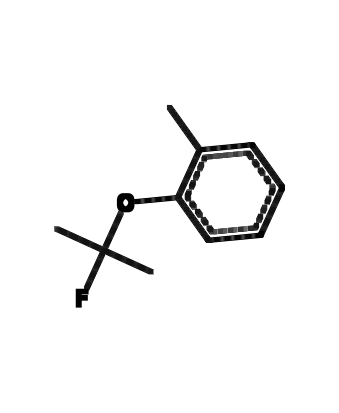 Cc1ccccc1OC(C)(C)F